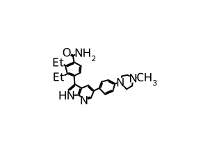 CCc1c(C(N)=O)ccc(-c2c[nH]c3ncc(-c4ccc(N5CCN(C)CC5)cc4)cc23)c1CC